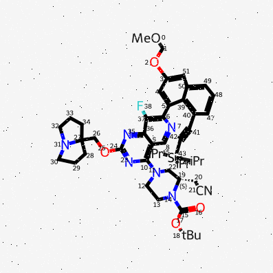 COCOc1cc(-c2ncc3c(N4CCN(C(=O)OC(C)(C)C)[C@@H](CC#N)C4)nc(OCC45CCCN4CCC5)nc3c2F)c2c(C#C[Si](C(C)C)(C(C)C)C(C)C)cccc2c1